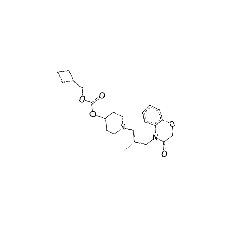 C[C@H](CN1CCC(OC(=O)OCC2CCC2)CC1)CN1C(=O)COc2ccccc21